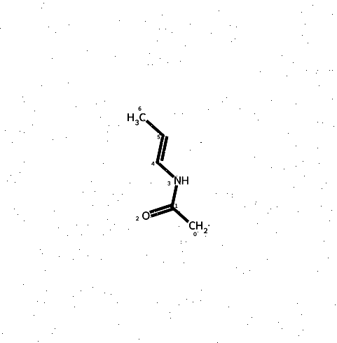 [CH2]C(=O)NC=CC